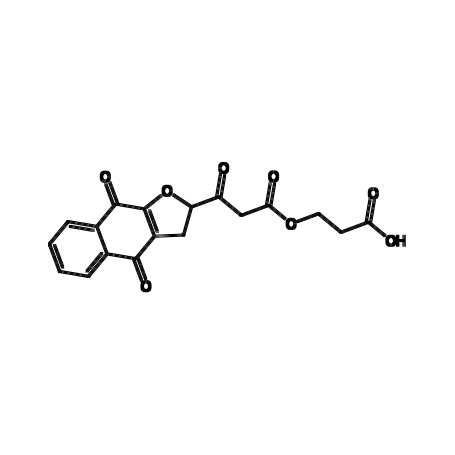 O=C(O)CCOC(=O)CC(=O)C1CC2=C(O1)C(=O)c1ccccc1C2=O